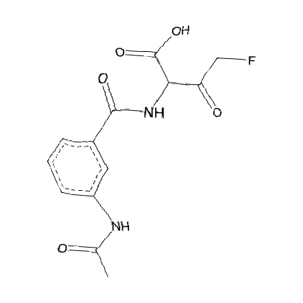 CC(=O)Nc1cccc(C(=O)NC(C(=O)O)C(=O)CF)c1